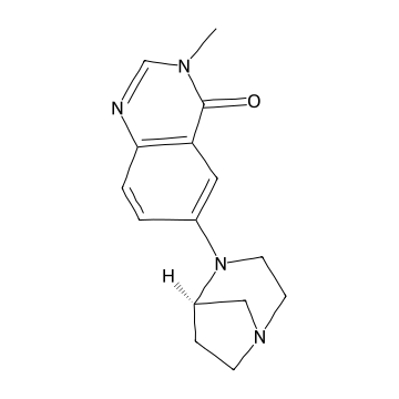 Cn1cnc2ccc(N3CCN4CC[C@@H]3C4)cc2c1=O